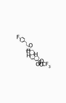 C[C@]12CC[C@H]3[C@@H](CC=C4C=C(S(=O)(=O)OC(F)(F)F)CC[C@@]43C)[C@@H]1CC[C@@H]2C(=O)CCc1ccc(F)cc1